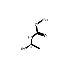 CC(C)[C@H](C)NC(=O)OC(C)(C)C